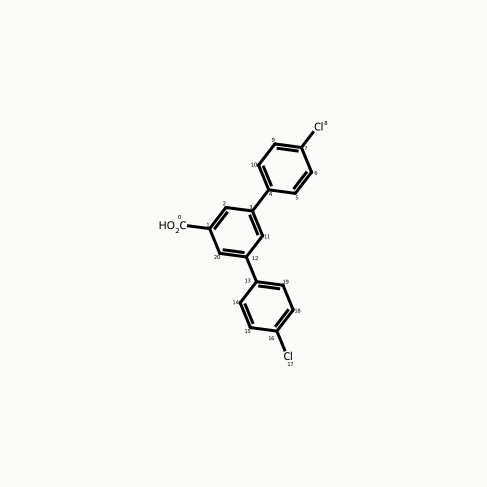 O=C(O)c1cc(-c2ccc(Cl)cc2)cc(-c2ccc(Cl)cc2)c1